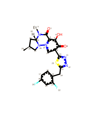 CCN1C(=O)c2c(O)c(=O)c(-c3nnc(Cc4ccc(F)cc4F)s3)cn2N2C[C@@H](C)C[C@H]12